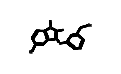 CC(=O)Cc1cccc(Sc2c(C)n(C)c3ccc(Cl)cc23)c1